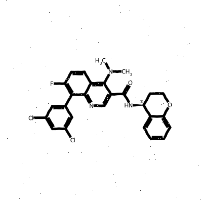 CN(C)c1c(C(=O)N[C@H]2CCOc3ccccc32)cnc2c(-c3cc(Cl)cc(Cl)c3)c(F)ccc12